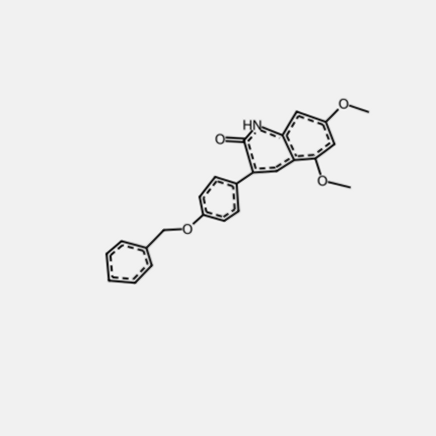 COc1cc(OC)c2cc(-c3ccc(OCc4ccccc4)cc3)c(=O)[nH]c2c1